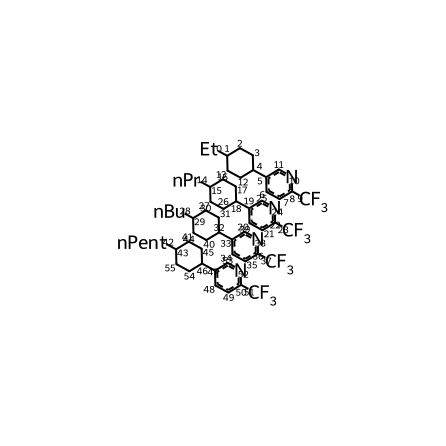 CCC1CCC(c2ccc(C(F)(F)F)nc2)CC1.CCCC1CCC(c2ccc(C(F)(F)F)nc2)CC1.CCCCC1CCC(c2ccc(C(F)(F)F)nc2)CC1.CCCCCC1CCC(c2ccc(C(F)(F)F)nc2)CC1